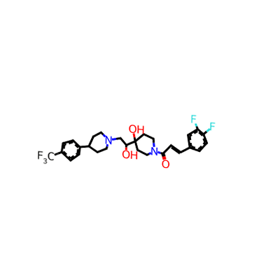 O=C(C=Cc1ccc(F)c(F)c1)N1CCC(O)(C(O)CN2CCC(c3ccc(C(F)(F)F)cc3)CC2)CC1